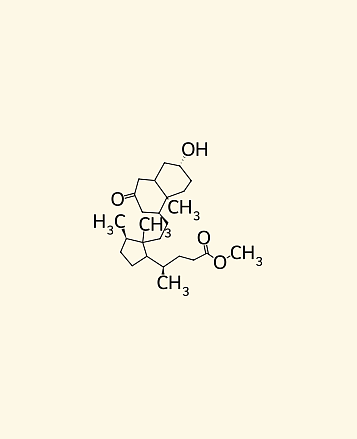 COC(=O)CC[C@@H](C)C1CC[C@@H](C)C1(C)CC[C@H]1CC(=O)CC2C[C@H](O)CCC21C